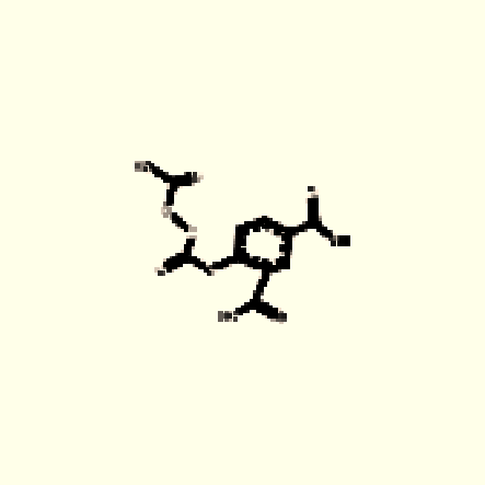 O=C(O)OOC(=O)Oc1ccc(C(=O)O)cc1C(=O)O